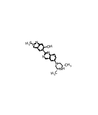 C[C@@H]1CN(c2ccc3nc(-c4cc5cn(C)nc5cc4O)ncc3c2)C[C@H](C)N1